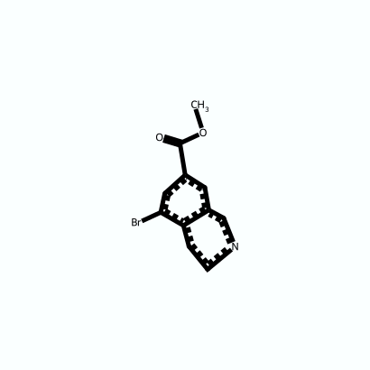 COC(=O)c1cc(Br)c2ccncc2c1